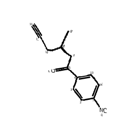 [C-]#[N+]c1ccc(C(=O)CC(C)CC#C)cc1